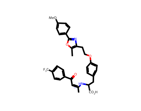 COc1ccc(-c2nc(CCOc3ccc(CC(N/C(C)=C\C(=O)c4ccc(C(F)(F)F)cc4)C(=O)O)cc3)c(C)o2)cc1